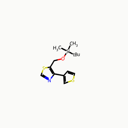 CC(C)(C)[Si](C)(C)OCc1scnc1-c1ccsc1